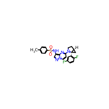 Cc1ccc(S(=O)(=O)Nc2cnn3ccc(N4CC[C@H]5C[C@]54c4cc(F)ccc4F)nc23)cc1